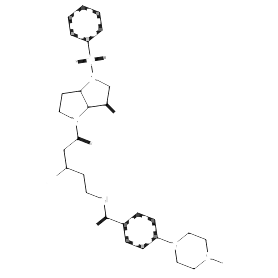 CC(CCNC(=O)c1ccc(N2CCN(C)CC2)cc1)CC(=O)N1CCC2C1C(=O)CN2S(=O)(=O)c1ccccc1